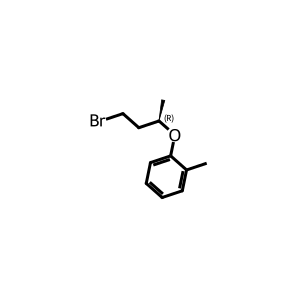 Cc1ccccc1O[C@H](C)CCBr